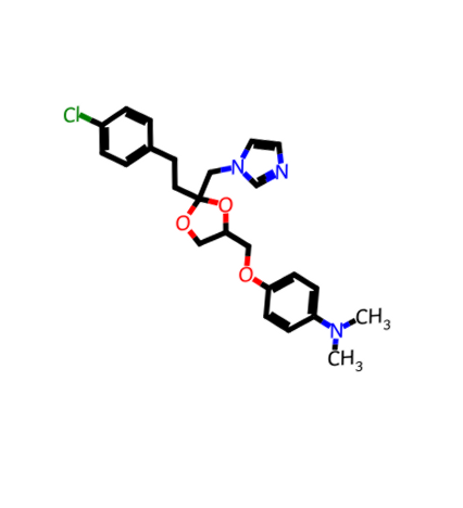 CN(C)c1ccc(OCC2COC(CCc3ccc(Cl)cc3)(Cn3ccnc3)O2)cc1